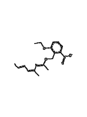 C/C=C/C=C(C)\N=C(/C)OCc1c(OCC)cccc1[N+](=O)[O-]